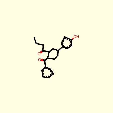 CCCC(=O)C1CC(c2ccc(O)cc2)CCC1C(=O)c1ccccc1